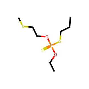 CCCSP(=S)(OCC)OCCSC